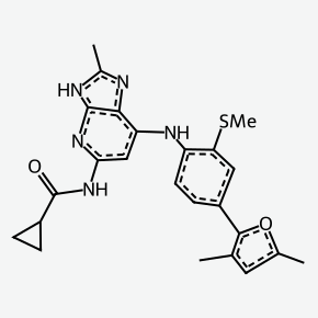 CSc1cc(-c2oc(C)cc2C)ccc1Nc1cc(NC(=O)C2CC2)nc2[nH]c(C)nc12